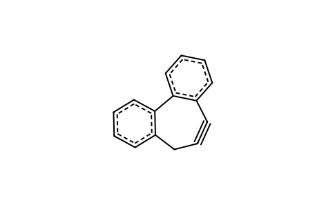 C1#Cc2ccccc2-c2ccccc2C1